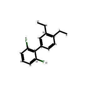 CCc1ccc(-c2c(F)c[c]cc2F)cc1CC